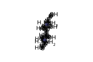 Nc1nc(SCCSOOO)nc(N)c1/N=N/c1cc(S(=O)(=O)O)c(NC(=O)c2ccc(C(=O)Nc3cc(S(=O)(=O)O)c(/N=N/c4c(N)nc(SCCS(=O)(=O)O)nc4N)cc3SOOO)cc2)cc1SOOO